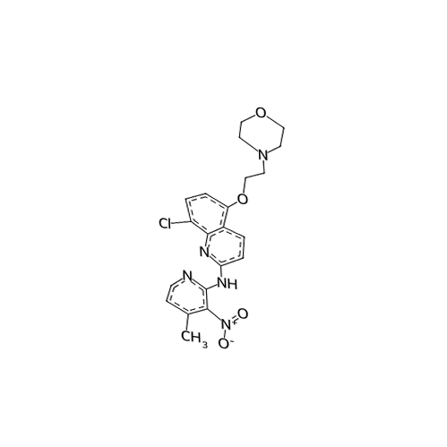 Cc1ccnc(Nc2ccc3c(OCCN4CCOCC4)ccc(Cl)c3n2)c1[N+](=O)[O-]